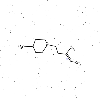 C/C=C(\C)CCN1CCC(C)CC1